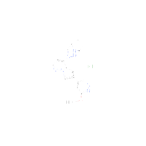 COc1cc(-c2cc3c(N4CC5CCC(C4)N5)ccnn3c2)cnn1.Cl